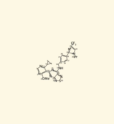 COc1ncnc(C2CC2)c1-c1nc(NCc2ccc(-c3nc(C(F)(F)F)cn3C(C)C)cc2)c2nsnc2n1